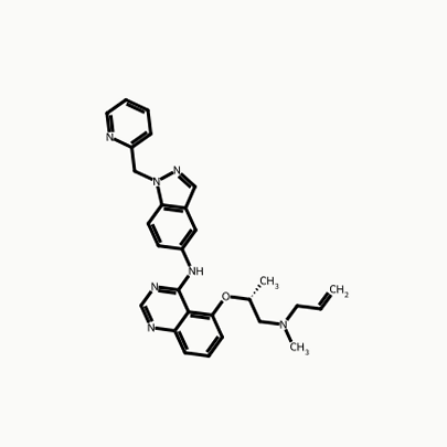 C=CCN(C)C[C@@H](C)Oc1cccc2ncnc(Nc3ccc4c(cnn4Cc4ccccn4)c3)c12